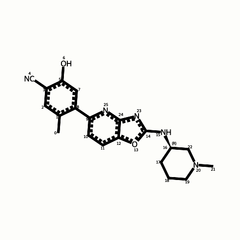 Cc1cc(C#N)c(O)cc1-c1ccc2oc(N[C@@H]3CCCN(C)C3)nc2n1